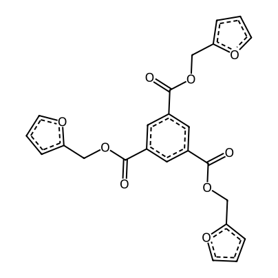 O=C(OCc1ccco1)c1cc(C(=O)OCc2ccco2)cc(C(=O)OCc2ccco2)c1